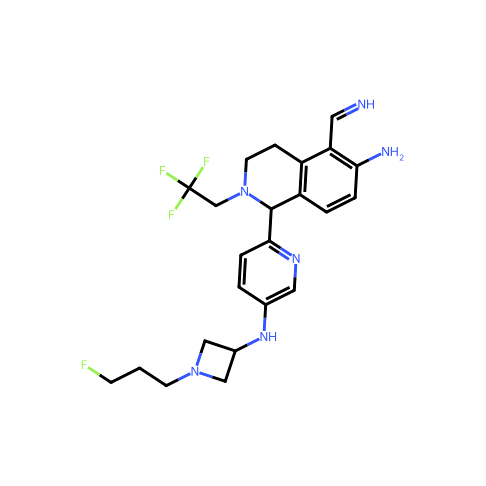 N=Cc1c(N)ccc2c1CCN(CC(F)(F)F)C2c1ccc(NC2CN(CCCF)C2)cn1